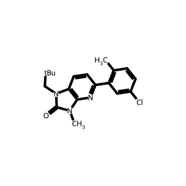 Cc1ccc(Cl)cc1-c1ccc2c(n1)n(C)c(=O)n2CC(C)(C)C